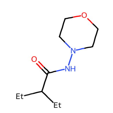 CCC(CC)C(=O)NN1CCOCC1